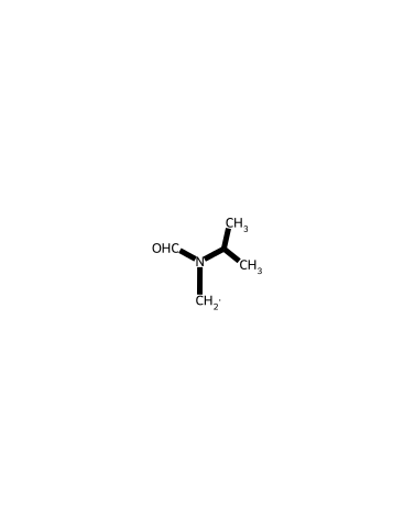 [CH2]N(C=O)C(C)C